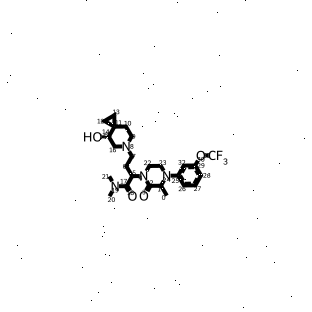 CC1C(=O)N(C(CCN2CCC3(CC3)[C@H](O)C2)C(=O)N(C)C)CCN1c1cccc(OC(F)(F)F)c1